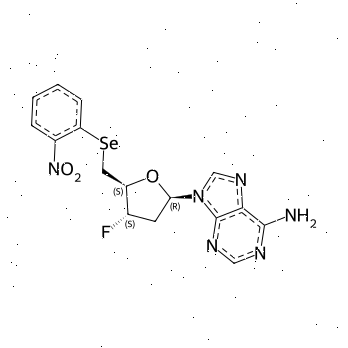 Nc1ncnc2c1ncn2[C@H]1C[C@H](F)[C@@H](C[Se]c2ccccc2[N+](=O)[O-])O1